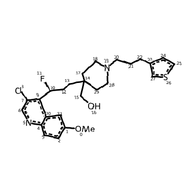 COc1ccc2ncc(Cl)c([C@@H](F)CCC3(CO)CCN(CCCc4ccsc4)CC3)c2c1